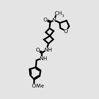 COc1ccc(CNC(=O)NC2CC3(C2)CC(C(=O)N(C)C2CCOC2)C3)cc1